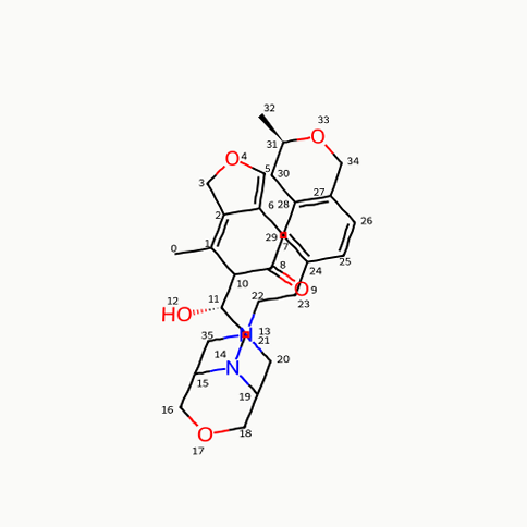 CC1=C2COC=C2CC(=O)C1[C@@H](O)CN1C2COCC1CN(CCc1ccc3c(c1)C[C@@H](C)OC3)C2